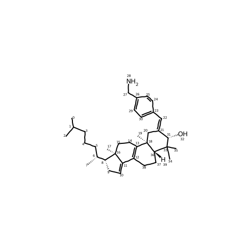 CC(C)CCC[C@@H](C)[C@H]1CC=C2C3=C(CC[C@@]21C)[C@@]1(C)C/C(=C\c2ccc(CN)cc2)[C@H](O)C(C)(C)[C@@H]1CC3